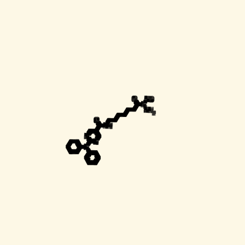 NN(N=O)C(=O)CCCCCCNC(=O)c1cnc(N(C2=CCCC=C2)c2ccccc2)nc1